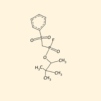 CC(OP(=O)(F)CS(=O)(=O)c1ccccc1)C(C)(C)C